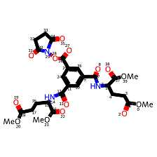 COC(=O)CCC(NC(=O)c1cc(C(=O)NC(CCC(=O)OC)C(=O)OC)cc(C(=O)ON2C(=O)CCC2=O)c1)C(=O)OC